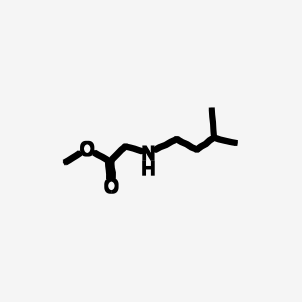 COC(=O)CNCCC(C)C